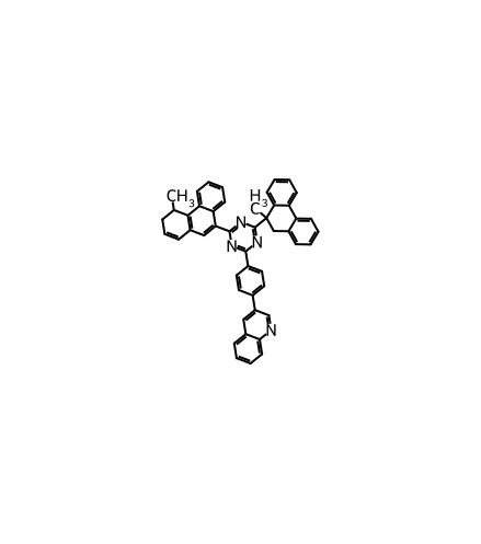 CC1CC=Cc2cc(-c3nc(-c4ccc(-c5cnc6ccccc6c5)cc4)nc(C4(C)Cc5ccccc5-c5ccccc54)n3)c3ccccc3c21